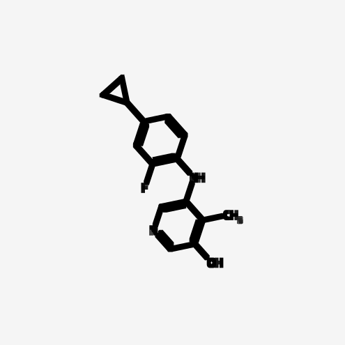 Cc1c(O)cncc1Nc1ccc(C2CC2)cc1F